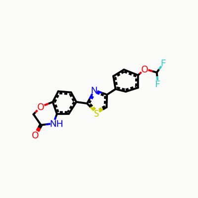 O=C1COc2ccc(-c3nc(-c4ccc(OC(F)F)cc4)cs3)cc2N1